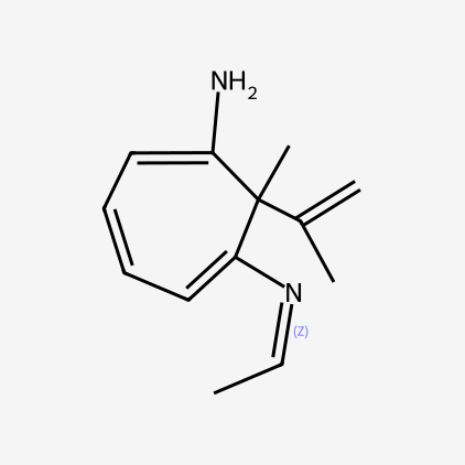 C=C(C)C1(C)C(N)=CC=CC=C1/N=C\C